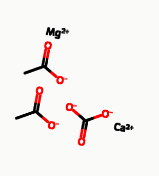 CC(=O)[O-].CC(=O)[O-].O=C([O-])[O-].[Ca+2].[Mg+2]